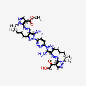 CCCCc1nn(-c2ccc(-n3nc(CCCC)c(/N=N/c4c(C(=O)OC)cnn4C)c3N)nn2)c(N)c1/N=N/c1c(C(=O)CO)cnn1C